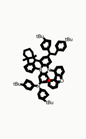 CC(C)(C)c1ccc(CC(c2ccc(C(C)(C)C)cc2)c2cc3c4c(c2)N(c2cccc5oc6ccccc6c25)c2ccc(N(c5ccc(C(C)(C)C)cc5)c5ccc(C(C)(C)C)cc5)cc2B4c2cccc4c2C3C2(C)CCCCC42C)cc1